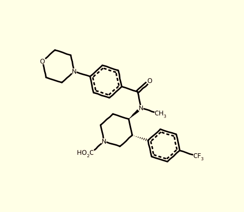 CN(C(=O)c1ccc(N2CCOCC2)cc1)[C@@H]1CCN(C(=O)O)C[C@H]1c1ccc(C(F)(F)F)cc1